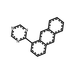 [c]1ncnc(-c2cccc3cc4ccccc4cc23)n1